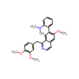 COc1ccc(Cc2nccc3cc(OC)c(-c4ccccc4N(C)C)cc23)cc1OC